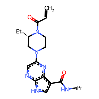 C=CC(=O)N1CCN(c2cnc3[nH]cc(C(=O)NC(C)C)c3n2)C[C@@H]1CC